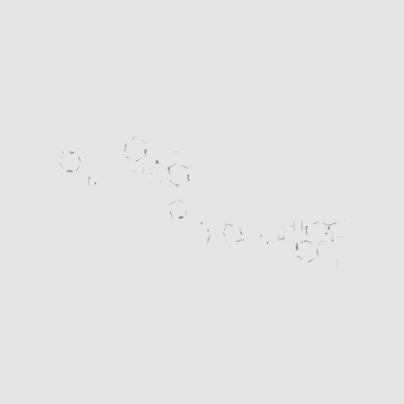 O=C(NCc1ccc(-c2cccc([C@](O)(C(=O)OCC3CCN(Cc4ccccc4)CC3)c3ccccc3)c2)s1)c1ccc(CNC[C@H](O)c2ccc(O)c3[nH]c(=O)ccc23)s1